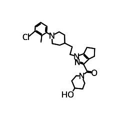 Cc1c(Cl)cccc1N1CCC(CCn2nc(C(=O)N3CCC(O)CC3)c3c2CCC3)CC1